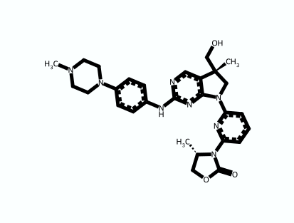 C[C@H]1COC(=O)N1c1cccc(N2C[C@@](C)(CO)c3cnc(Nc4ccc(N5CCN(C)CC5)cc4)nc32)n1